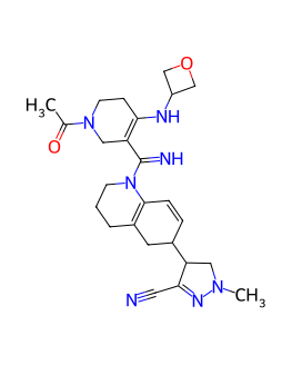 CC(=O)N1CCC(NC2COC2)=C(C(=N)N2CCCC3=C2C=CC(C2CN(C)N=C2C#N)C3)C1